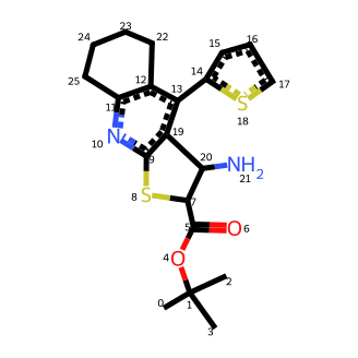 CC(C)(C)OC(=O)C1Sc2nc3c(c(-c4cccs4)c2C1N)CCCC3